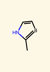 Cc1bcc[nH]1